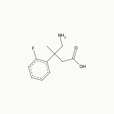 CC(CN)(CC(=O)O)c1ccccc1F